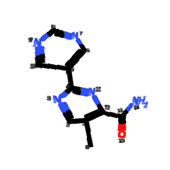 Cc1cnc(-c2cncnc2)nc1C(N)=O